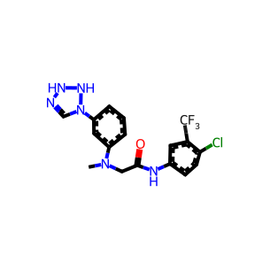 CN(CC(=O)Nc1ccc(Cl)c(C(F)(F)F)c1)c1cccc(N2C=NNN2)c1